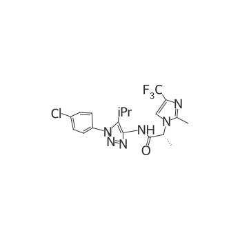 Cc1nc(C(F)(F)F)cn1[C@H](C)C(=O)Nc1nnn(-c2ccc(Cl)cc2)c1C(C)C